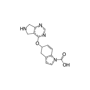 O=C(O)n1ccc2c1C=CC(Oc1ncnc3c1CNC3)C2